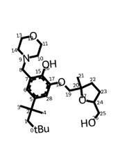 CC(C)(C)CC(C)(C)c1cc(CN2CCOCC2)c(O)c(OCC2(C)CCC(CO)O2)c1